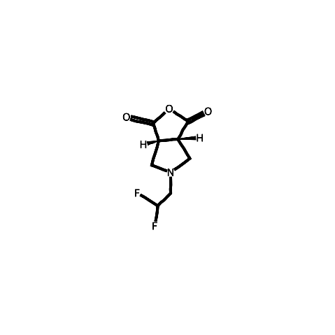 O=C1OC(=O)[C@@H]2CN(CC(F)F)C[C@H]12